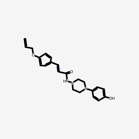 C=CCOc1ccc(/C=C/C(=O)NN2CCN(c3ccc(O)cc3)CC2)cc1